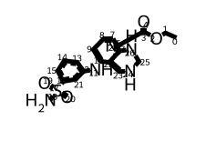 CCOC(=O)C1=NC2=CC=C(Nc3cccc(S(N)(=O)=O)c3)C3=CNCNC23S1